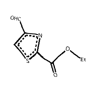 CCOC(=O)c1nc(C=O)cs1